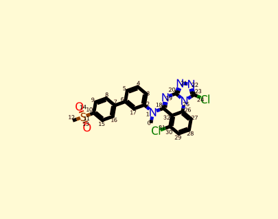 CN(c1cccc(-c2ccc(S(C)(=O)=O)cc2)c1)c1nc2nnc(Cl)n2c2cccc(Cl)c12